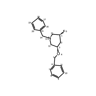 F[C@H]1C[C@@H](OCc2ccccc2)CN(Cc2ccccc2)C1